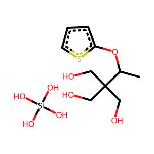 CC(Oc1cccs1)C(CO)(CO)CO.O[Si](O)(O)O